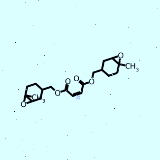 CC12CCC(COC(=O)/C=C\C(=O)OCC3CCC4(C)OC4C3)CC1O2